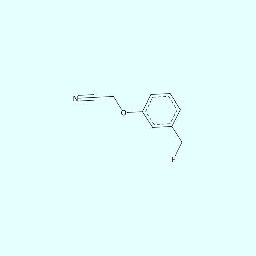 N#CCOc1cccc(CF)c1